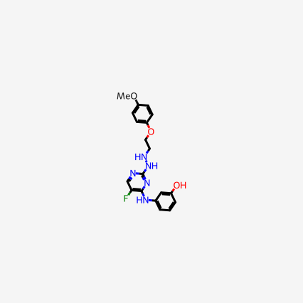 COc1ccc(OCCNNc2ncc(F)c(Nc3cccc(O)c3)n2)cc1